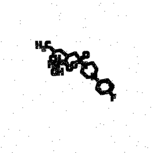 CC(C)CC(CS(=O)(=O)N1CCN(c2ccc(F)cc2)CC1)C(=O)NO